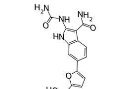 NC(=O)Nc1[nH]c2cc(-c3ccc(CO)o3)ccc2c1C(N)=O